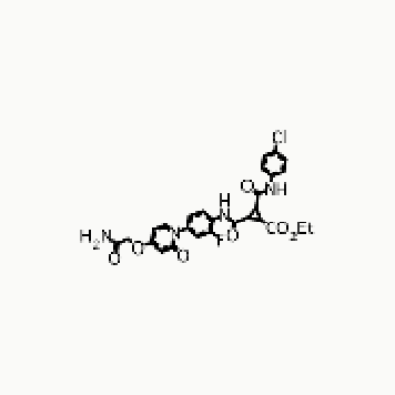 CCOC(=O)C1C(C(=O)Nc2ccc(Cl)cc2)C1C(=O)Nc1ccc(-n2ccc(OCC(N)=O)cc2=O)cc1F